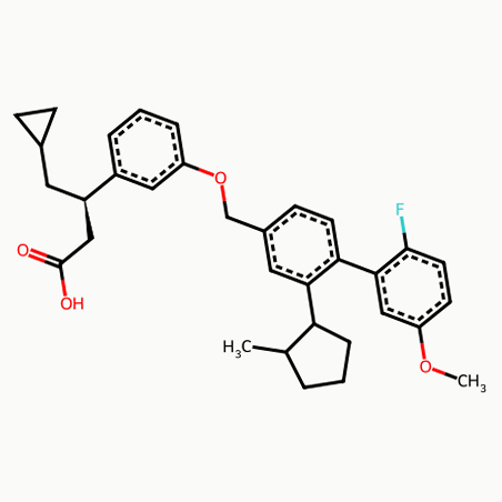 COc1ccc(F)c(-c2ccc(COc3cccc([C@@H](CC(=O)O)CC4CC4)c3)cc2C2CCCC2C)c1